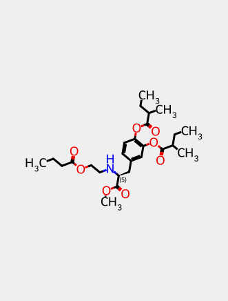 CCCC(=O)OCCN[C@@H](Cc1ccc(OC(=O)C(C)CC)c(OC(=O)C(C)CC)c1)C(=O)OC